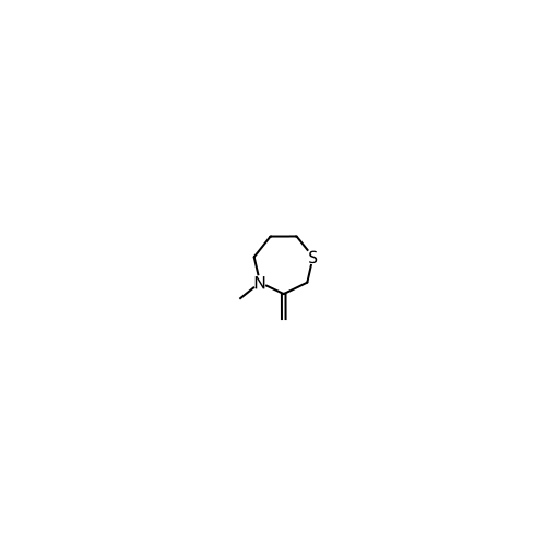 C=C1CSCCCN1C